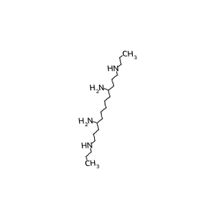 CCCNCCCC(N)CCCCCC(N)CCCNCCC